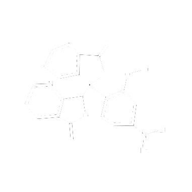 CCOc1cc(N(CC)CC)ccc1C1(C2OC(=O)c3cccnc32)OC(=O)c2ccccc21